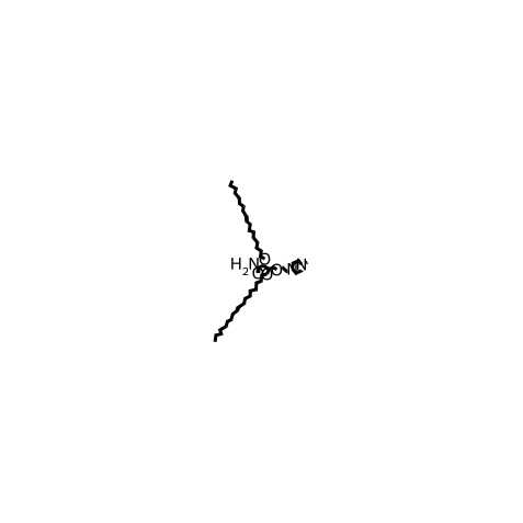 CCCCCCCCC=CCCCCCCCCOC(COCCN1CCN(C)CC1)C(OCCCCCCCCC=CCCCCCCCC)C(N)=O